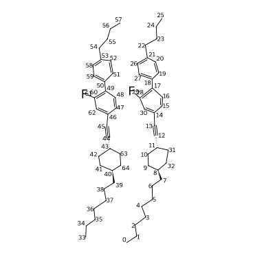 CCCCCCCC[C@H]1CC[C@H](C#Cc2ccc(-c3ccc(CCCC)cc3)c(F)c2)CC1.CCCCCCC[C@H]1CC[C@H](C#Cc2ccc(-c3ccc(CCCC)cc3)c(F)c2)CC1